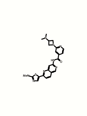 CNc1ncc(-c2ccc3cnc(NC(=O)c4ccnc(N5CC(N(C)C)C5)c4)cc3n2)s1